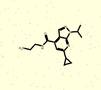 CC(C)n1ncc2c(C(=O)NCCN)cc(C3CC3)nc21